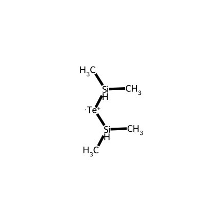 C[SiH](C)[Te+][SiH](C)C